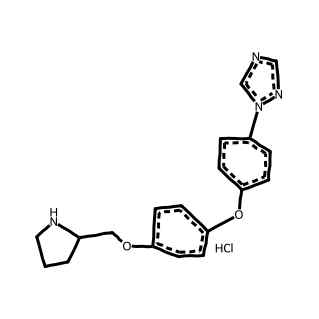 Cl.c1ncn(-c2ccc(Oc3ccc(OCC4CCCN4)cc3)cc2)n1